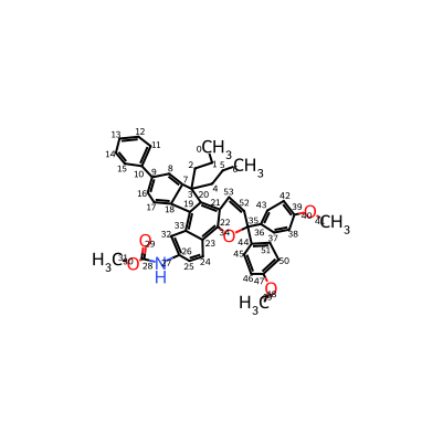 CCCC1(CCC)c2cc(-c3ccccc3)ccc2-c2c1c1c(c3ccc(NC(=O)OC)cc23)OC(c2ccc(OC)cc2)(c2ccc(OC)cc2)C=C1